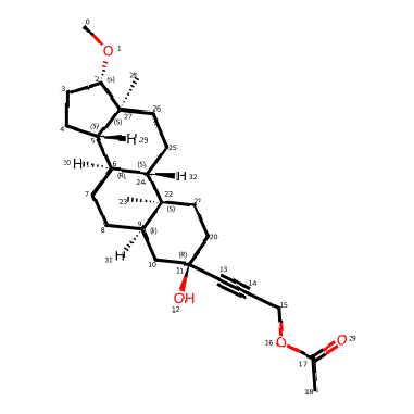 CO[C@H]1CC[C@H]2[C@@H]3CC[C@@H]4C[C@@](O)(C#CCOC(C)=O)CC[C@]4(C)[C@H]3CC[C@]12C